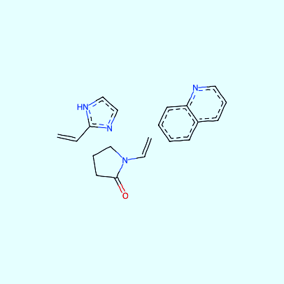 C=CN1CCCC1=O.C=Cc1ncc[nH]1.c1ccc2ncccc2c1